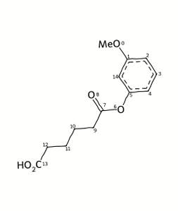 COc1cccc(OC(=O)CCCCC(=O)O)c1